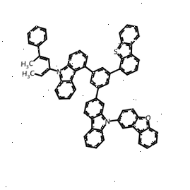 C/C=C(\C=C(/C)c1ccccc1)n1c2ccccc2c2c(-c3cc(-c4ccc5c6ccccc6n(-c6ccc7oc8ccccc8c7c6)c5c4)cc(-c4cccc5c4sc4ccccc45)c3)cccc21